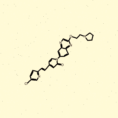 O=c1cc(C=Cc2ccc(Cl)cn2)ccn1-c1ccc2nc(OCCN3CCCC3)cnc2c1